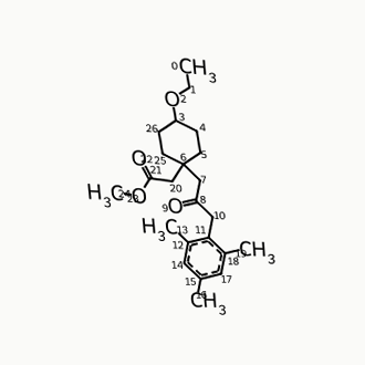 CCOC1CCC(CC(=O)Cc2c(C)cc(C)cc2C)(CC(=O)OC)CC1